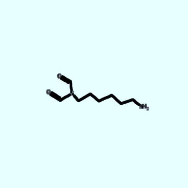 NCCCCCCN(C=O)C=O